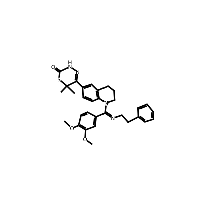 COc1ccc(/C(=N/CCc2ccccc2)N2CCCc3cc(C4=NNC(=O)SC4(C)C)ccc32)cc1OC